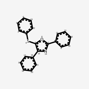 c1ccc(Sc2oc(-c3ccccc3)nc2-c2ccccc2)cc1